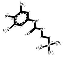 Cc1cc(NC(=O)OCC[Si](C)(C)C)cc(N)c1Br